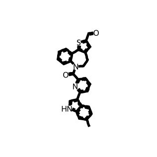 Cc1ccc2c(-c3cccc(C(=O)N4CCc5cc(C=O)sc5-c5ccccc54)n3)c[nH]c2c1